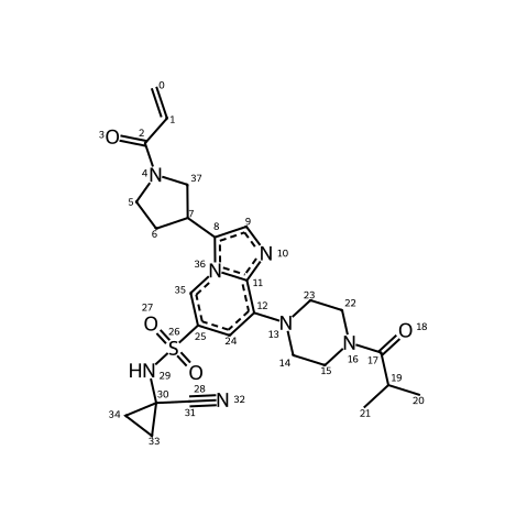 C=CC(=O)N1CCC(c2cnc3c(N4CCN(C(=O)C(C)C)CC4)cc(S(=O)(=O)NC4(C#N)CC4)cn23)C1